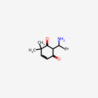 CC(C)C(N)C1C(=O)C=CC(C)(C)C1=O